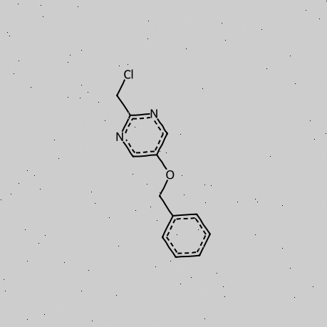 ClCc1ncc(OCc2ccccc2)cn1